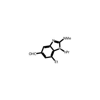 CCCn1c(NC)nc2cc(C=O)cc(CC)c21